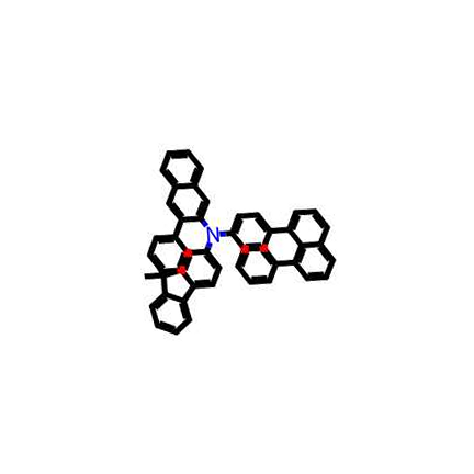 CC1(C)c2ccccc2-c2ccc(N(c3ccc(-c4cccc5cccc(-c6ccccc6)c45)cc3)c3cc4ccccc4cc3-c3ccccc3)cc21